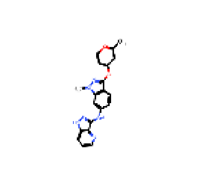 CC1CC(Oc2nn(C)c3cc(Nc4n[nH]c5cccnc45)ccc23)CCO1